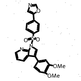 COc1ccc(-c2cn(S(=O)(=O)c3ccc(-c4cnco4)cc3)c3ncccc23)cc1OC